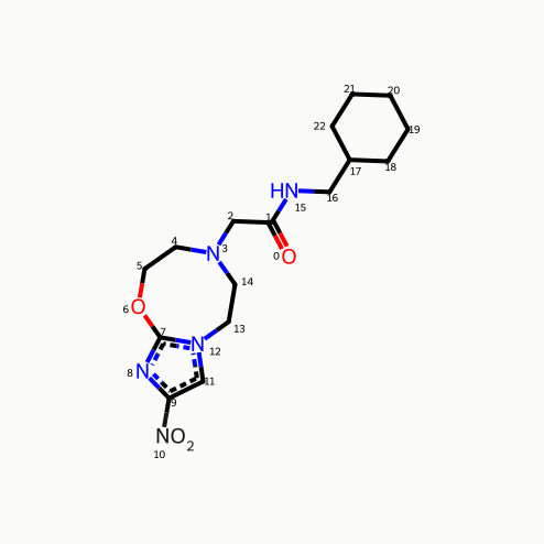 O=C(CN1CCOc2nc([N+](=O)[O-])cn2CC1)NCC1CCCCC1